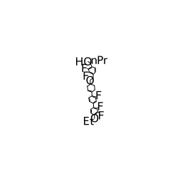 CCCC(O)c1ccc(COC2CC=C(c3ccc(-c4ccc(OCC)c(F)c4F)cc3F)CC2)c(F)c1F